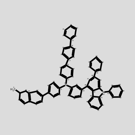 CC1C=Cc2ccc(-c3ccc(N(c4ccc(-c5ccc(-c6ccccc6)cc5)cc4)c4cccc(-c5cc(-c6ccccc6)cc6c5c5ccccc5n6-c5ccccc5)c4)cc3)cc2C1